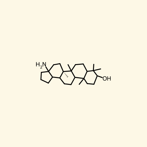 CC1(C)C(O)CCC2(C)C1CCC1(C)C2CCC2C3CCCC3(N)CC[C@]21C